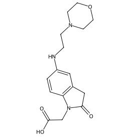 O=C(O)CN1C(=O)Cc2cc(NCCN3CCOCC3)ccc21